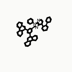 c1ccc(-c2ccccc2-c2ccnc3c2nc(-c2cc(-c4cc5ccccc5c5ccccc45)cc(-c4cc5ccccc5c5ccccc45)c2)n3-c2ccccc2)cc1